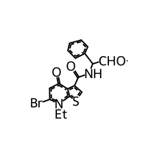 CCn1c(Br)cc(=O)c2c(C(=O)NC([C]=O)c3ccccc3)csc21